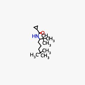 CC(C)(C)CCCC(NC(=O)C1CC1)C(C)(C)C